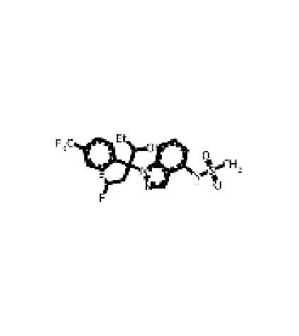 CCC(O)C(CC(F)F)(c1ccc(C(F)(F)F)cc1)n1ncc2c(NS(C)(=O)=O)cccc21